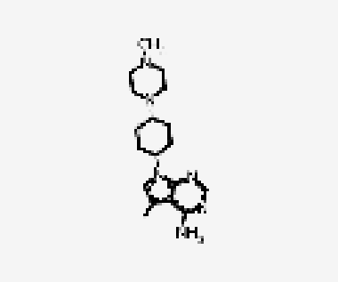 CN1CCN([C@H]2CC[C@H](n3cc(I)c4c(N)ncnc43)CC2)CC1